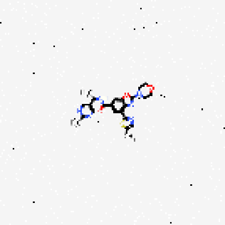 Cc1cnc(-c2cc(C(=O)N[C@H](C)c3cnc(C(F)(F)F)nc3)cc3oc(N4CCOCC4)nc23)s1